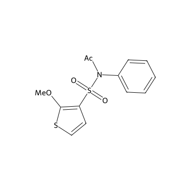 COc1sccc1S(=O)(=O)N(C(C)=O)c1ccccc1